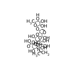 C=C(C)N1C2C(O[C@@](O[C@H]3C(O)C(CO)O[C@@H](O[C@H]4C(O[C@@H]5O[C@@H](C)C(O)C(O)C5O)C=COC4CO)C3O)(C(=O)O)C[C@H]2O)[C@]1(O)[C@H](O)CO